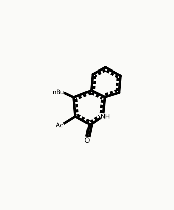 CCCCc1c(C(C)=O)c(=O)[nH]c2ccccc12